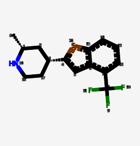 C[C@@H]1C[C@H](c2cc3c(C(F)(F)F)cccc3s2)CCN1